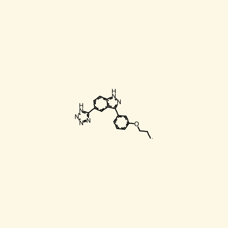 [CH2]CCOc1cccc(-c2n[nH]c3ccc(-c4nnn[nH]4)cc23)c1